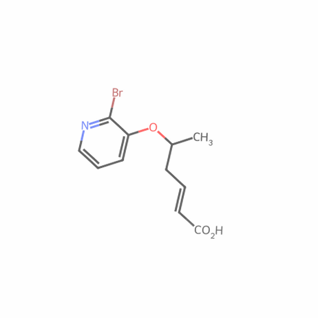 CC(C/C=C/C(=O)O)Oc1cccnc1Br